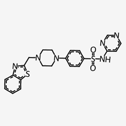 O=S(=O)(Nc1ccncn1)c1ccc(N2CCN(Cc3nc4ccccc4s3)CC2)cc1